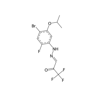 CC(C)Oc1cc(N/N=C/C(=O)C(F)(F)F)c(F)cc1Br